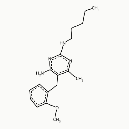 CCCCCNc1nc(C)c(Cc2ccccc2OC)c(N)n1